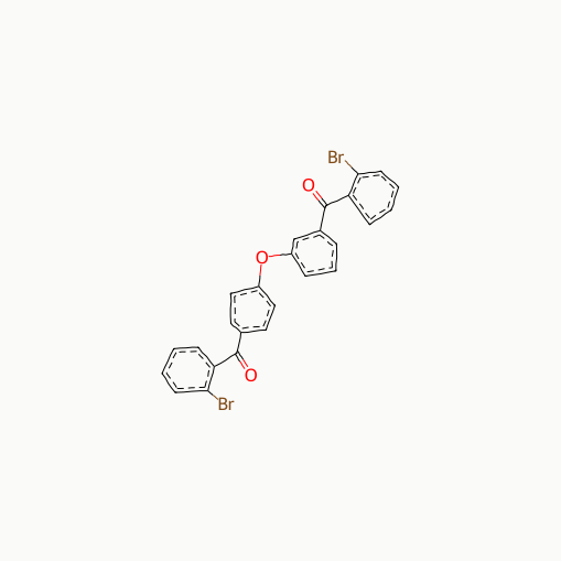 O=C(c1ccc(Oc2cccc(C(=O)c3ccccc3Br)c2)cc1)c1ccccc1Br